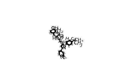 CC(C)(C)c1ccc(-n2nc(-c3ccncc3)cc2NCC(=O)N[C@@H](Cc2ccc(O)cc2)C(N)=O)cc1